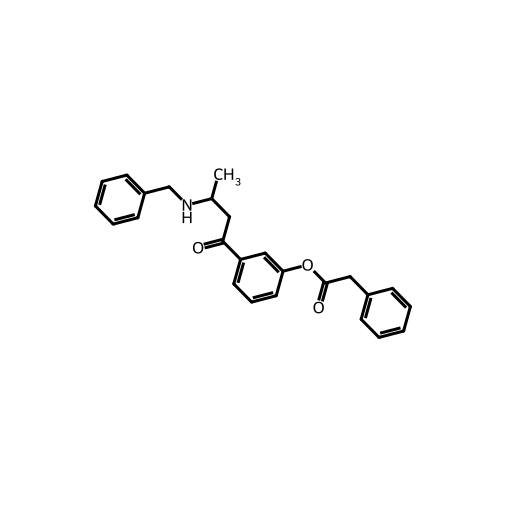 CC(CC(=O)c1cccc(OC(=O)Cc2ccccc2)c1)NCc1ccccc1